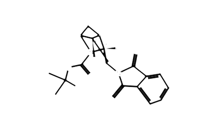 C[C@H]1C2CC1N(C(=O)OC(C)(C)C)[C@H]2CN1C(=O)c2ccccc2C1=O